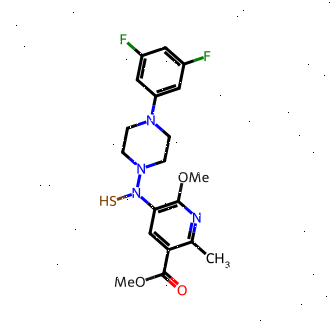 COC(=O)c1cc(N(S)N2CCN(c3cc(F)cc(F)c3)CC2)c(OC)nc1C